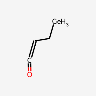 O=C=C[CH2][GeH3]